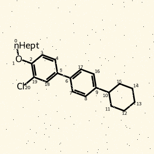 CCCCCCCOc1ccc(-c2ccc(C3CC[CH]CC3)cc2)cc1Cl